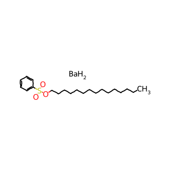 CCCCCCCCCCCCCCCOS(=O)(=O)c1ccccc1.[BaH2]